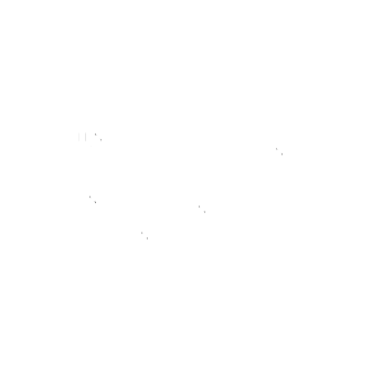 CCN(c1cc(N)ncn1)C1CNCCO1